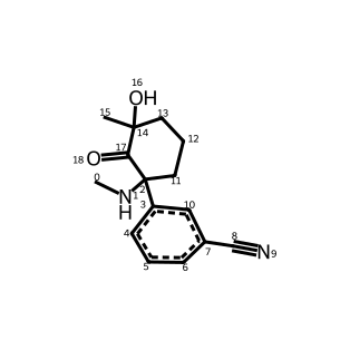 CNC1(c2cccc(C#N)c2)CCCC(C)(O)C1=O